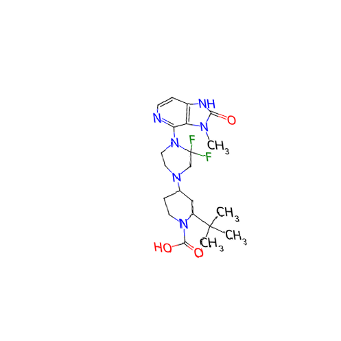 Cn1c(=O)[nH]c2ccnc(N3CCN(C4CCN(C(=O)O)C(C(C)(C)C)C4)CC3(F)F)c21